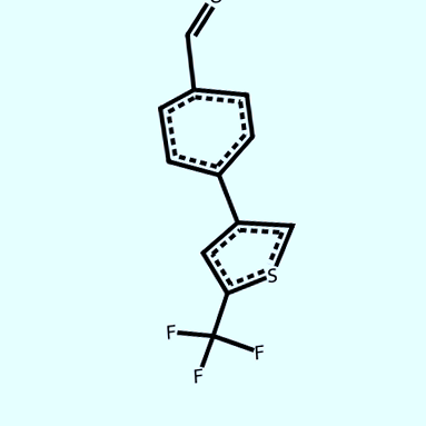 O=Cc1ccc(-c2csc(C(F)(F)F)c2)cc1